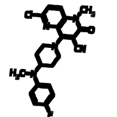 CN(c1ccc(F)cc1)C1CCN(c2c(C#N)c(=O)n(C)c3ccc(Cl)nc23)CC1